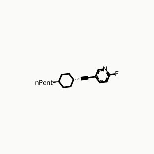 CCCCC[C@H]1CC[C@H](C#Cc2ccc(F)nc2)CC1